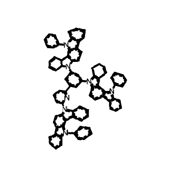 C1=CC2c3c(ccc4c5ccccc5n(-c5ccccc5)c34)N(c3cc(-c4cccc(-n5c6ccccc6c6c5ccc5c7ccccc7n(-c7ccccc7)c56)n4)cc(-n4c5c(c6c4ccc4c7ccccc7n(-c7ccccc7)c46)C=CCC5)c3)C2C=C1